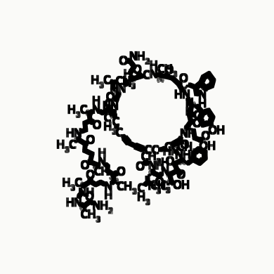 CC(=O)N[C@@H](CC(C)C)C(=O)N[C@H](C(=O)C(=O)[C@H](Cc1ccccc1)NN[C@]1(C)CCCCC#CC#CCCC[C@@](C)(C(=O)CN[C@@H](C)C(=O)CCN[C@@H](C)C(=O)CCC(=O)[C@H](C)NCCC(=O)[C@H](C)NCCC(=O)[C@H](C)NCN[C@H](C)C(N)=O)NC(=O)[C@H](CC(C)C)NN[C@@H](CCC(N)=O)C(=O)CN[C@@H](C)C(=O)CC(=O)[C@H](Cc2c[nH]c3ccccc23)NN[C@@H](Cc2ccc(O)cc2)C(=O)C(=O)[C@H](CCC(=O)O)NC1=O)[C@@H](C)O